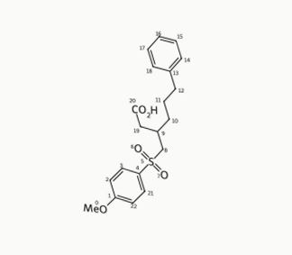 COc1ccc(S(=O)(=O)CC(CCCc2ccccc2)CC(=O)O)cc1